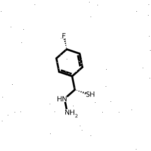 NN[C@@H](S)C1=CC[C@H](F)C=C1